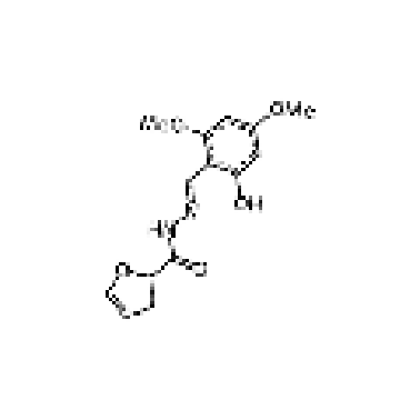 COc1cc(O)c(/C=N/NC(=O)C2CC=CO2)c(OC)c1